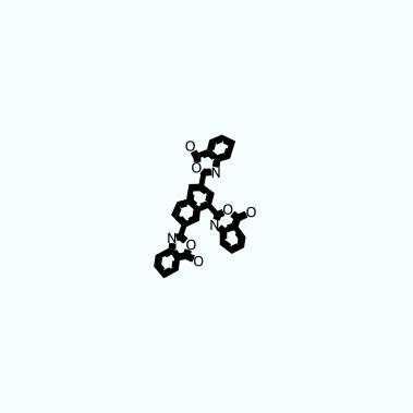 O=c1oc(-c2cc(-c3nc4ccccc4c(=O)o3)c3cc(-c4nc5ccccc5c(=O)o4)ccc3c2)nc2ccccc12